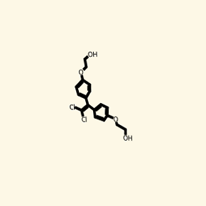 OCCOc1ccc(C(=C(Cl)Cl)c2ccc(OCCO)cc2)cc1